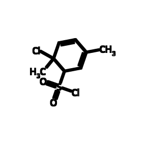 CC1=CC(S(=O)(=O)Cl)C(C)(Cl)C=C1